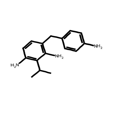 CC(C)c1c(N)ccc(Cc2ccc(N)cc2)c1N